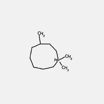 CC1CCCCC[PH](C)(C)CC1